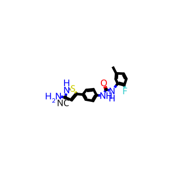 Cc1ccc(F)c(NC(=O)Nc2ccc(C3=CC(N)(C#N)NS3)cc2)c1